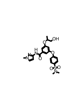 CC(CO)Oc1cc(Oc2ccc(S(=O)(=O)N(C)C)cc2)cc(C(=O)Nc2ccn(C)n2)c1